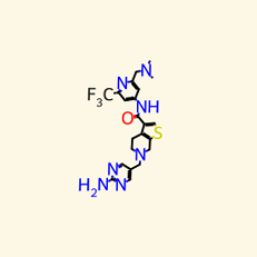 CN(C)Cc1cc(NC(=O)c2csc3c2CCN(Cc2cnc(N)nc2)C3)cc(C(F)(F)F)n1